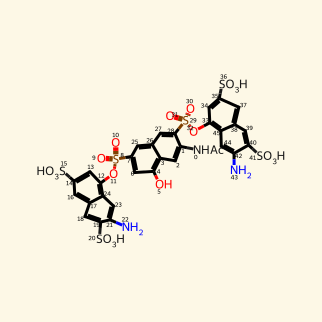 CC(=O)Nc1cc2c(O)cc(S(=O)(=O)Oc3cc(S(=O)(=O)O)cc4cc(S(=O)(=O)O)c(N)cc34)cc2cc1S(=O)(=O)Oc1cc(S(=O)(=O)O)cc2cc(S(=O)(=O)O)c(N)cc12